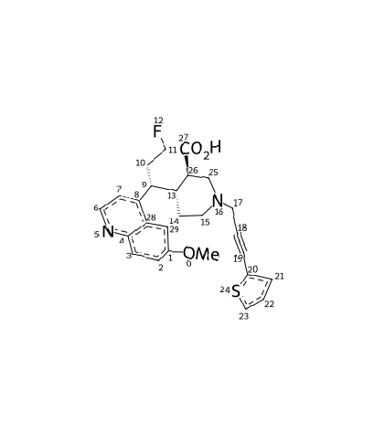 COc1ccc2nccc([C@H](CCF)[C@H]3CCN(CC#Cc4cccs4)C[C@@H]3C(=O)O)c2c1